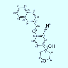 N#Cc1cc(C2(O)CCOCC2)ccc1OCc1ccc2ccccc2c1